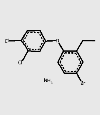 CCc1cc(Br)ccc1Oc1ccc(Cl)c(Cl)c1.N